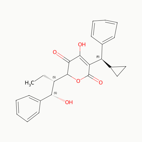 CC[C@H](C1OC(=O)C([C@@H](c2ccccc2)C2CC2)=C(O)C1=O)[C@H](O)c1ccccc1